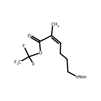 CCCCCCCCCCCCC=C(C)C(=O)OC(F)(F)C(F)(F)F